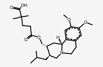 COc1cc2c(cc1OC)[C@H]1C[C@@H](COC(=O)CCC(C)(C)C(=O)O)[C@H](CC(C)C)CN1CC2